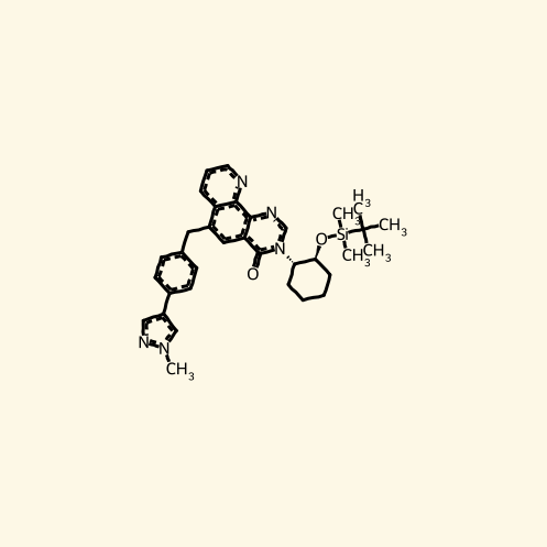 Cn1cc(-c2ccc(Cc3cc4c(=O)n([C@H]5CCCC[C@@H]5O[Si](C)(C)C(C)(C)C)cnc4c4ncccc34)cc2)cn1